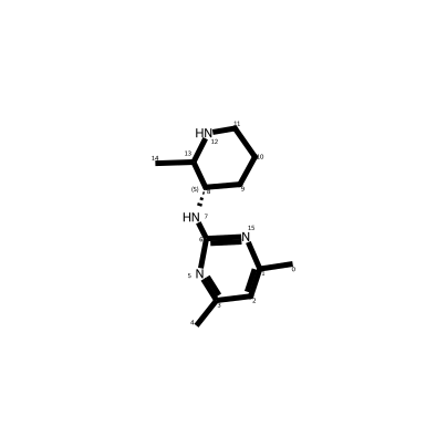 Cc1cc(C)nc(N[C@H]2CCCNC2C)n1